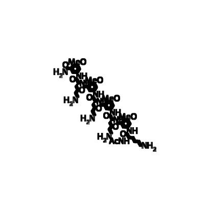 COc1ccc(NC(=O)[C@H](CCCCN)NC(=O)c2cc(NC(=O)[C@H](CCCCN)NC(=O)c3cc(NC(=O)[C@H](CCCCN)NC(=O)c4cc(NC(=O)[C@H](CCCCN)NC(C)=O)ccc4OC)ccc3OC)ccc2OC)cc1C(N)=O